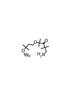 CC(C)(C)OC(C)(C)CCOC(C)(C)C(=O)C(C)(C)CN